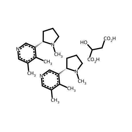 Cc1cncc([C@@H]2CCCN2C)c1C.Cc1cncc([C@@H]2CCCN2C)c1C.O=C(O)CC(O)C(=O)O